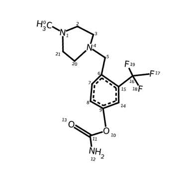 CN1CCN(Cc2ccc(OC(N)=O)cc2C(F)(F)F)CC1